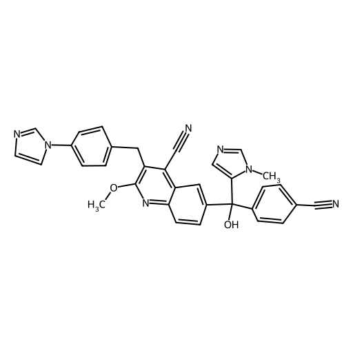 COc1nc2ccc(C(O)(c3ccc(C#N)cc3)c3cncn3C)cc2c(C#N)c1Cc1ccc(-n2ccnc2)cc1